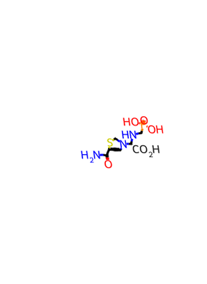 NC(=O)C1=CN(C(NCP(=O)(O)O)C(=O)O)CS1